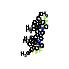 C=Cc1ccc(C2(c3c(F)c(F)c(F)c(F)c3F)c3ccccc3-c3ccc(N(c4ccccc4)c4ccc5c(c4)C4(c6ccc(C(C)(C)C)cc6-c6cc(C(C)(C)C)ccc64)c4cc(N(c6ccccc6)c6ccc7c(c6)C(c6ccc(C=C)cc6)(c6c(F)c(F)c(F)c(F)c6F)c6ccccc6-7)ccc4-5)cc32)cc1